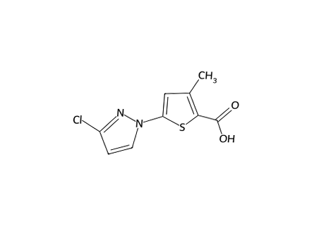 Cc1cc(-n2ccc(Cl)n2)sc1C(=O)O